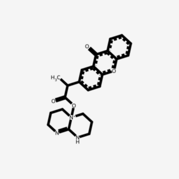 CC(C(=O)O[N+]12CCCN=C1NCCC2)c1ccc2oc3ccccc3c(=O)c2c1